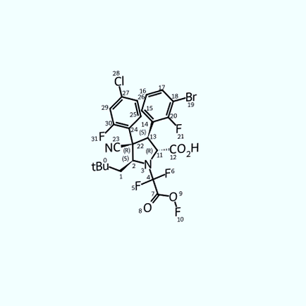 CC(C)(C)C[C@@H]1N(C(F)(F)C(=O)OF)[C@@H](C(=O)O)[C@H](c2cccc(Br)c2F)[C@@]1(C#N)c1ccc(Cl)cc1F